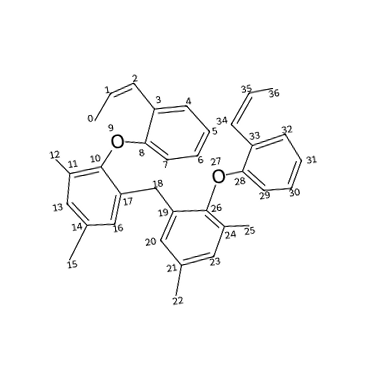 C/C=C\c1ccccc1Oc1c(C)cc(C)cc1Cc1cc(C)cc(C)c1Oc1ccccc1/C=C\C